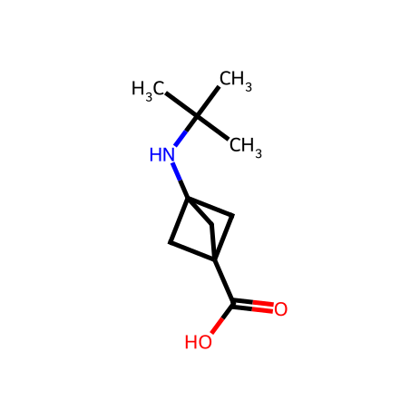 CC(C)(C)NC12CC(C(=O)O)(C1)C2